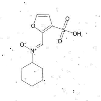 O=S(=O)(O)c1ccoc1C=[N+]([O-])C1CCCCC1